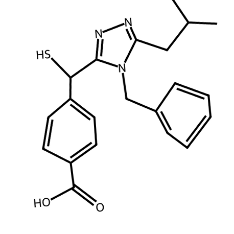 CC(C)Cc1nnc(C(S)c2ccc(C(=O)O)cc2)n1Cc1ccccc1